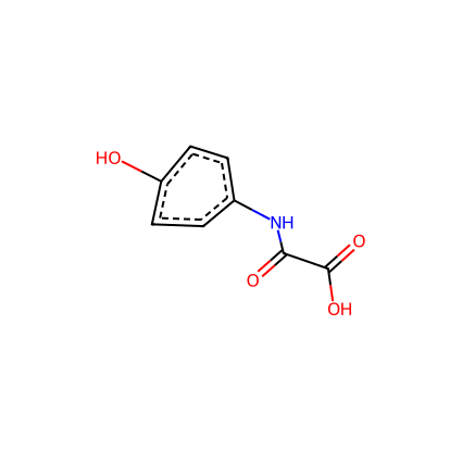 O=C(O)C(=O)Nc1ccc(O)cc1